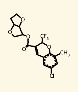 Cc1cc(Cl)cc2c1OC(C(F)(F)F)C(C(=O)OC1COC3CCOC31)=C2